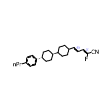 CCCc1ccc([C@H]2CC[C@H](C3CCC(/C=C/C=C(\F)C#N)CC3)CC2)cc1